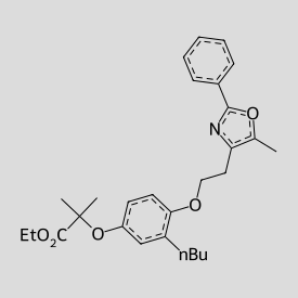 CCCCc1cc(OC(C)(C)C(=O)OCC)ccc1OCCc1nc(-c2ccccc2)oc1C